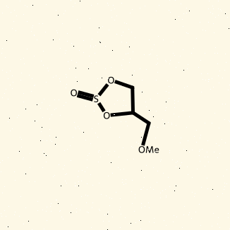 COCC1COS(=O)O1